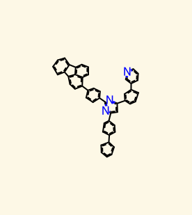 c1ccc(-c2ccc(-c3cc(-c4cccc(-c5cccnc5)c4)nc(-c4ccc(-c5ccc6c7c(cccc57)-c5ccccc5-6)cc4)n3)cc2)cc1